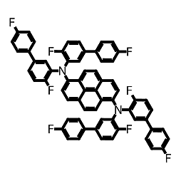 Fc1ccc(-c2ccc(F)c(N(c3cc(-c4ccc(F)cc4)ccc3F)c3ccc4ccc5c(N(c6cc(-c7ccc(F)cc7)ccc6F)c6cc(-c7ccc(F)cc7)ccc6F)ccc6ccc3c4c65)c2)cc1